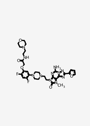 Cn1c(=O)n(CCN2CCN(c3cc(OCC(=O)NCCN4CCOCC4)c(F)cc3F)CC2)c2nc(N)n3nc(-c4ccco4)nc3c21